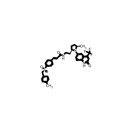 Cc1ccc(CS(=O)(=O)c2ccc(C=CC(=O)NCC[C@H]3CC[C@@H](C)N3c3ccc4[nH]c(=O)cc(C(F)(F)F)c4c3)cc2)cc1